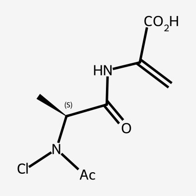 C=C(NC(=O)[C@H](C)N(Cl)C(C)=O)C(=O)O